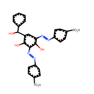 O=S(=O)(O)c1ccc(N=Nc2cc(C(O)c3ccccc3)c(O)c(N=Nc3ccc(S(=O)(=O)O)cc3)c2O)cc1